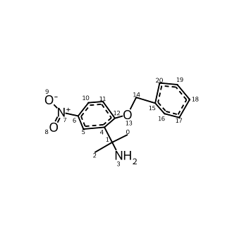 CC(C)(N)c1cc([N+](=O)[O-])ccc1OCc1ccccc1